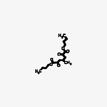 CCCCOC(=O)C(=O)CC(C)CC(=O)C(=O)OCCCC